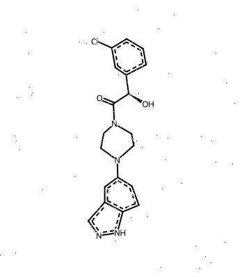 O=C([C@H](O)c1cccc(Cl)c1)N1CCN(c2ccc3[nH]ncc3c2)CC1